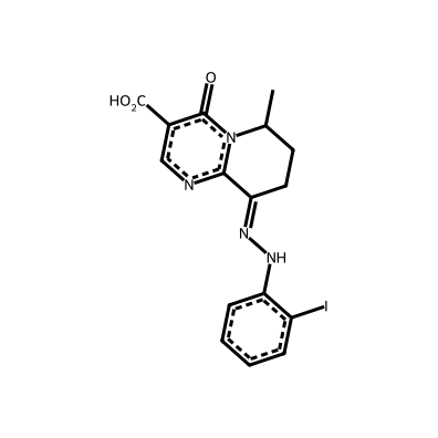 CC1CC/C(=N\Nc2ccccc2I)c2ncc(C(=O)O)c(=O)n21